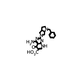 Nc1nc(N2CC3CCN(Cc4ccccc4)C3C2)nc2[nH]cc(C(=O)O)c(=O)c12